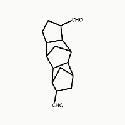 O=CC1CC2CC1C1C3CC(C4C(C=O)CCC34)C21